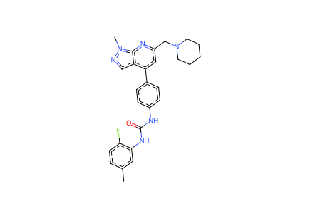 Cc1ccc(F)c(NC(=O)Nc2ccc(-c3cc(CN4CCCCC4)nc4c3cnn4C)cc2)c1